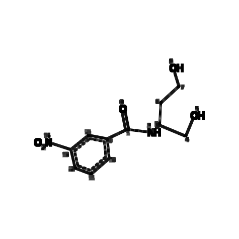 O=C(NC(CO)CCO)c1cccc([N+](=O)[O-])c1